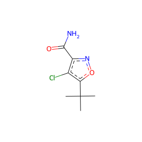 CC(C)(C)c1onc(C(N)=O)c1Cl